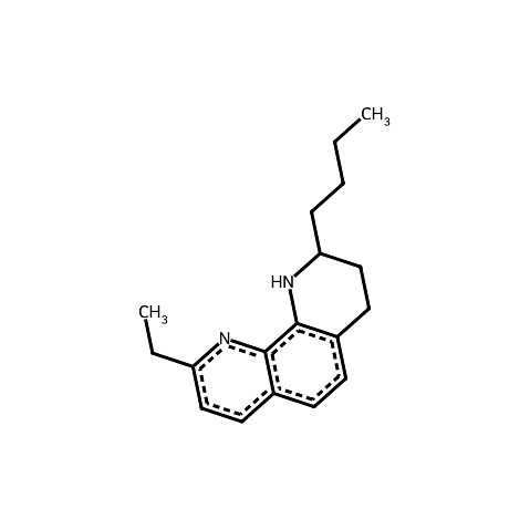 CCCCC1CCc2ccc3ccc(CC)nc3c2N1